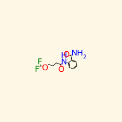 NC(=O)c1ccccc1NC(=O)CCCOC(F)F